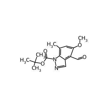 COc1cc(C)c2c(cnn2C(=O)OC(C)(C)C)c1C=O